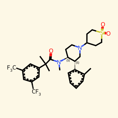 Cc1ccccc1[C@H]1CN(C2CCS(=O)(=O)CC2)CC[C@@H]1N(C)C(=O)C(C)(C)c1cc(C(F)(F)F)cc(C(F)(F)F)c1